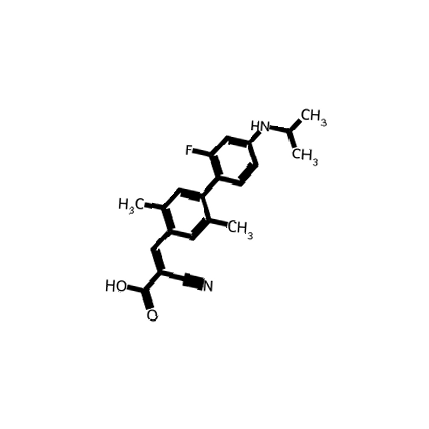 Cc1cc(-c2ccc(NC(C)C)cc2F)c(C)cc1/C=C(\C#N)C(=O)O